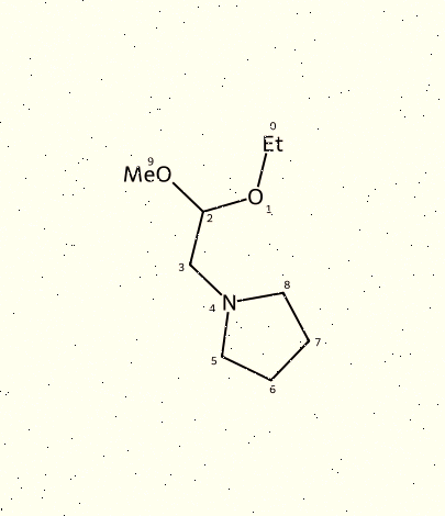 CCOC(CN1CCCC1)OC